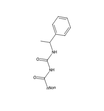 CCCCCCCCCC(=O)NC(=O)NC(C)c1ccccc1